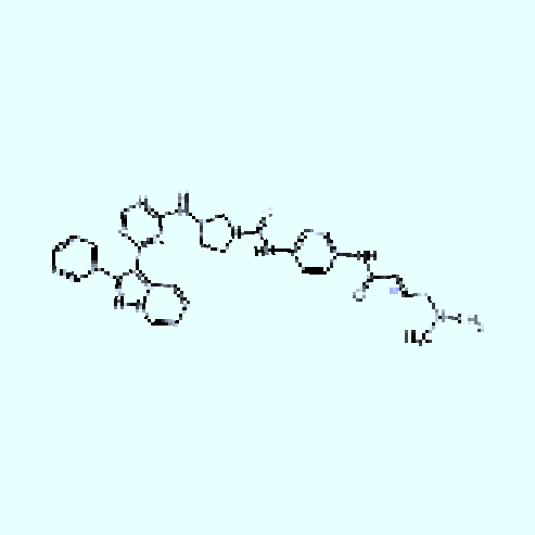 CN(C)C/C=C/C(=O)Nc1ccc(NC(=O)N2CCC(Nc3nccc(-c4c(-c5ccccc5)nn5ccccc45)n3)C2)cc1